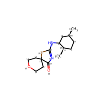 C[C@H]1CC[C@@H](C)C(NC2=NC(=O)C3(CCOCC3)S2)C1